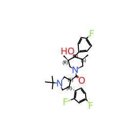 C[C@@H]1CN(C(=O)[C@@H]2CN(C(C)(C)C)C[C@H]2c2ccc(F)cc2F)C[C@H](C)[C@@]1(O)c1ccc(F)cc1